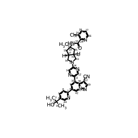 CC(C)(O)c1ccc(-c2cc(-c3cnc(N4C[C@@H]5C[C@@](C)(NC(=O)c6ncccc6Cl)C[C@@H]5C4)cn3)c3c(C#N)cnn3c2)nc1